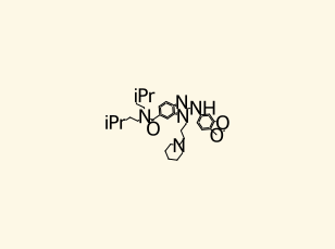 CC(C)CCN(CCC(C)C)C(=O)c1ccc2nc(Nc3ccc4c(c3)OCO4)n(CCCN3CCCCC3)c2c1